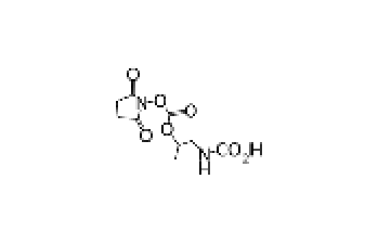 CC(CNC(=O)O)OC(=O)ON1C(=O)CCC1=O